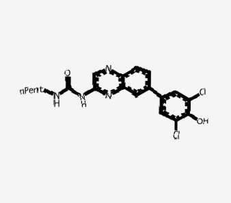 CCCCCNC(=O)Nc1cnc2ccc(-c3cc(Cl)c(O)c(Cl)c3)cc2n1